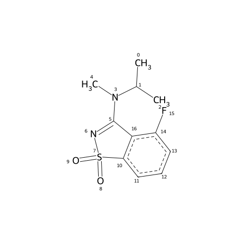 CC(C)N(C)C1=NS(=O)(=O)c2cccc(F)c21